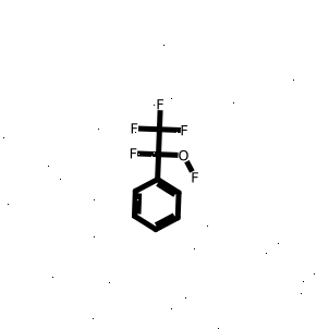 FOC(F)(c1ccccc1)C(F)(F)F